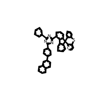 c1ccc(-c2nc(-c3ccc(-c4ccc5ccccc5c4)cc3)nc(-c3cccc4c3-c3ccccc3C43c4ccccc4Sc4ccccc43)n2)cc1